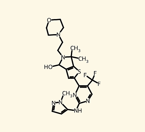 Cn1nccc1Nc1ncc(C(F)(F)F)c(-c2cc3c(s2)C(C)(C)N(CCN2CCOCC2)C3O)n1